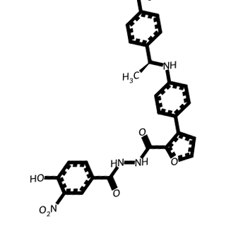 Cc1ccc([C@H](C)Nc2ccc(-c3ccoc3C(=O)NNC(=O)c3ccc(O)c([N+](=O)[O-])c3)cc2)cc1